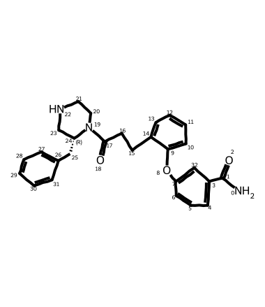 NC(=O)c1cccc(Oc2ccccc2CCC(=O)N2CCNC[C@H]2Cc2ccccc2)c1